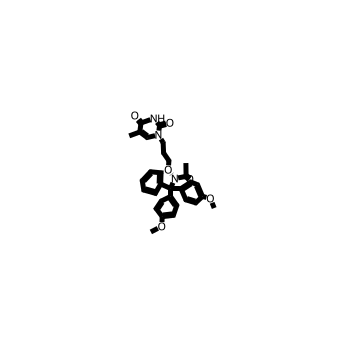 COc1ccc(C(c2ccccc2)(c2ccc(OC)cc2)N(OCCCn2cc(C)c(=O)[nH]c2=O)C(C)=O)cc1